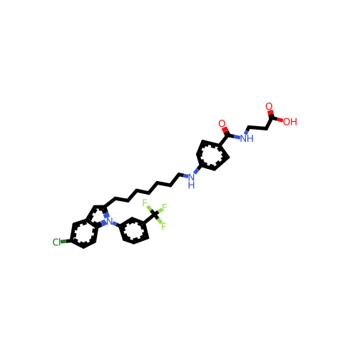 O=C(O)CCNC(=O)c1ccc(NCCCCCCCc2cc3cc(Cl)ccc3n2-c2cccc(C(F)(F)F)c2)cc1